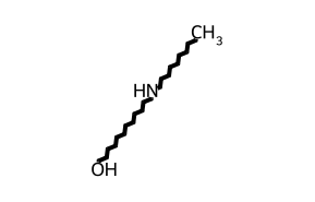 CCCCCCCCCCNCCCCCCCCCCCCO